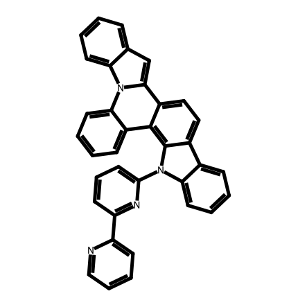 c1ccc(-c2cccc(-n3c4ccccc4c4ccc5c(c6ccccc6n6c7ccccc7cc56)c43)n2)nc1